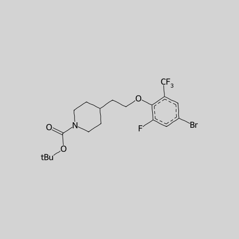 CC(C)(C)OC(=O)N1CCC(CCOc2c(F)cc(Br)cc2C(F)(F)F)CC1